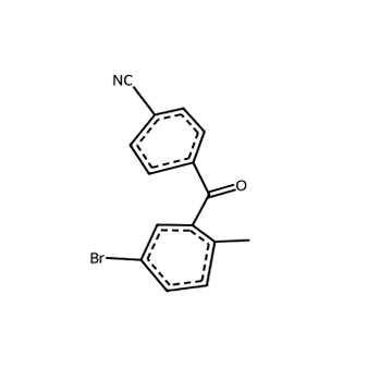 Cc1ccc(Br)cc1C(=O)c1ccc(C#N)cc1